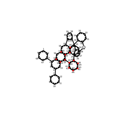 c1ccc(-c2cc(-c3ccccc3)cc(N(c3ccc4c(c3)C3(c5ccccc5Oc5ccccc53)c3ccccc3-4)c3ccccc3-c3ccccc3-c3ccccc3-c3ccccc3)c2)cc1